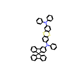 c1ccc(N(c2ccccc2)c2ccc3c(c2)Sc2ccc(N(c4ccccc4)c4ccc5c(c4)-c4ccccc4C54c5ccccc5-c5ccccc54)cc2S3)cc1